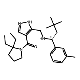 CCC1(CC)CCCN1C(=O)c1cn[nH]c1CN[C@H](CC(C)(C)C)c1cccc(C)c1